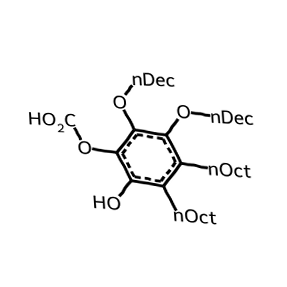 CCCCCCCCCCOc1c(CCCCCCCC)c(CCCCCCCC)c(O)c(OC(=O)O)c1OCCCCCCCCCC